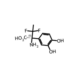 CC(F)(F)[C@@](N)(C(=O)O)c1ccc(O)c(O)c1